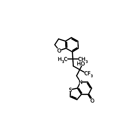 CC(C)(CC(O)(Cn1ccc(=O)c2ccsc21)C(F)(F)F)c1cccc2c1OCC2